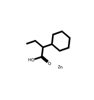 CCC(C(=O)O)C1CCCCC1.[Zn]